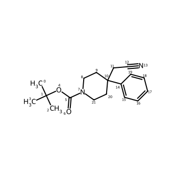 CC(C)(C)OC(=O)N1CCC(CC#N)(c2ccccc2)CC1